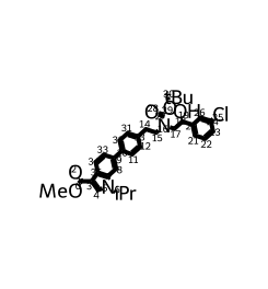 COC(=O)c1cn(C(C)C)c2cc(-c3ccc(CCN(C[C@H](O)c4cccc(Cl)c4)C(=O)OC(C)(C)C)cc3)ccc12